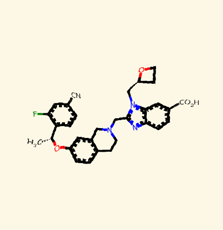 C[C@@H](Oc1ccc2c(c1)CN(Cc1nc3ccc(C(=O)O)cc3n1C[C@@H]1CCO1)CC2)c1ccc(C#N)cc1F